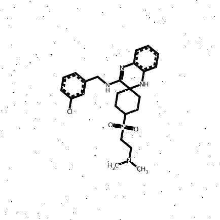 CN(C)CCS(=O)(=O)C1CCC2(CC1)Nc1ccccc1N=C2NCc1cccc(Cl)c1